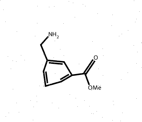 COC(=O)c1c[c]cc(CN)c1